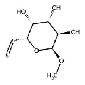 CO[C@H]1O[C@H](C=S)[C@H](O)[C@H](O)[C@H]1O